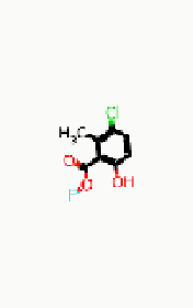 Cc1c(Cl)ccc(O)c1C(=O)OF